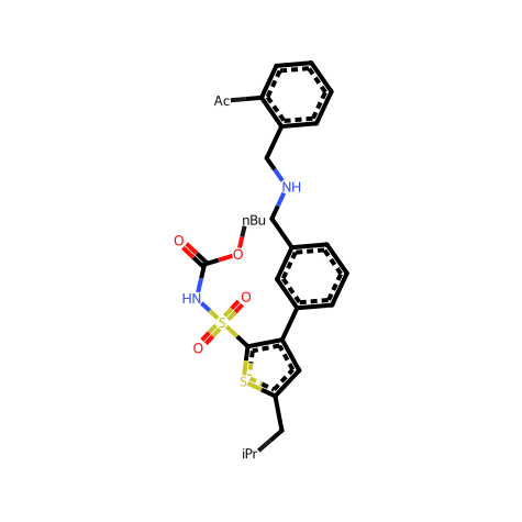 CCCCOC(=O)NS(=O)(=O)c1sc(CC(C)C)cc1-c1cccc(CNCc2ccccc2C(C)=O)c1